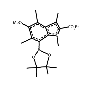 CCOC(=O)c1c(C)c2c(C)c(OC)c(C)c(B3OC(C)(C)C(C)(C)O3)c2n1C